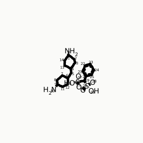 NC1CCC(CC2CCC(N)CC2)CC1.O=S(=O)(O)C(c1ccccc1)S(=O)(=O)O